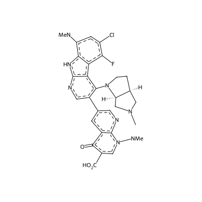 CNc1cc(Cl)c(F)c2c1[nH]c1ncc(-c3cnc4c(c3)c(=O)c(C(=O)O)cn4NC)c(N3CC[C@H]4CN(C)C[C@H]43)c12